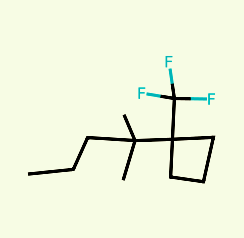 CCCC(C)(C)C1(C(F)(F)F)CCC1